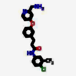 NCc1cc(Oc2cccc(CCC(=O)Nc3ccc(Cl)c(C(F)(F)F)c3)c2)ccn1